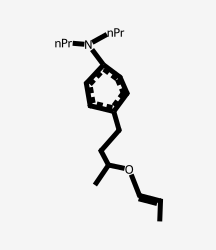 CC=COC(C)CCc1ccc(N(CCC)CCC)cc1